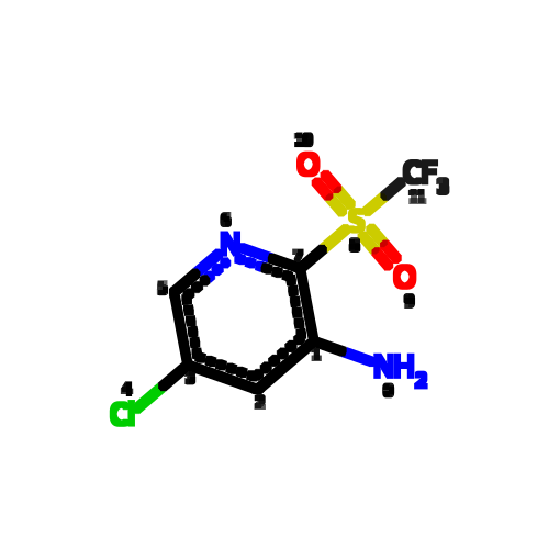 Nc1cc(Cl)cnc1S(=O)(=O)C(F)(F)F